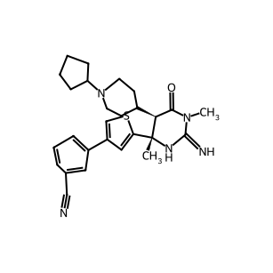 CN1C(=N)N[C@](C)(c2cc(-c3cccc(C#N)c3)cs2)[C@@H](C2CCN(C3CCCC3)CC2)C1=O